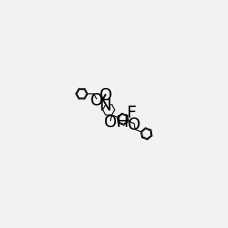 O=C(OCc1ccccc1)N1CCC(O)(c2ccc(OCc3ccccc3)c(F)c2)CC1